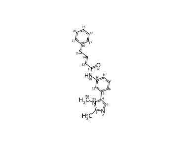 Cc1ncc(-c2cccc(NC(=O)C=CSc3ccccc3)c2)n1C